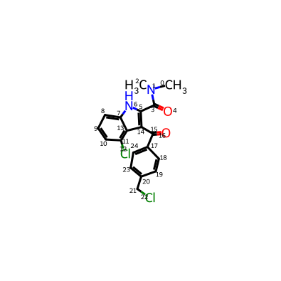 CN(C)C(=O)c1[nH]c2cccc(Cl)c2c1C(=O)c1ccc(CCl)cc1